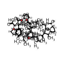 CC[C@H](C)[C@H](NC(=O)[C@@H]1CCCN1C(=O)CNC(=O)[C@@H]1CCCN1C(=O)[C@H](CC(C)C)NC(=O)[C@@H](NC(=O)[C@@H](NC(=O)[C@@H](NC(=O)[C@@H](NC(=O)[C@@H]1CCCN1)C(C)C)C(C)C)C(C)C)[C@@H](C)O)C(=O)N[C@@H](CC(C)C)C(=O)N[C@@H](CO)C(=O)N[C@@H](CO)C(=O)N[C@@H](Cc1ccccc1)C(=O)O